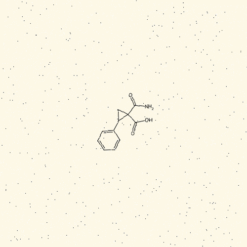 NC(=O)C1(C(=O)O)CC1c1ccccc1